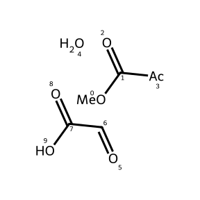 COC(=O)C(C)=O.O.O=CC(=O)O